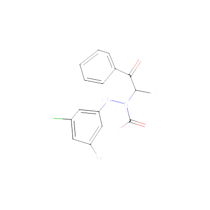 CC(C(=O)c1ccccc1)N(Nc1cc(Cl)cc(Br)c1)C(=O)O